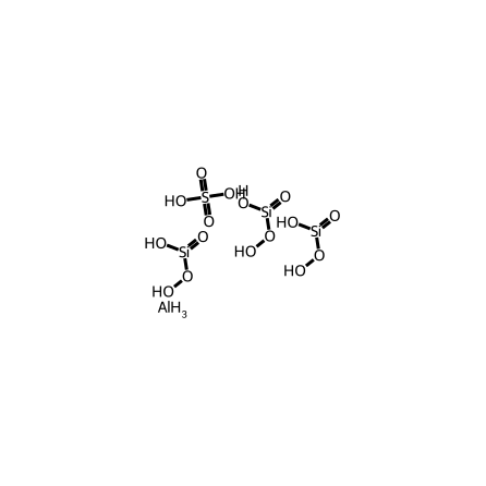 O=S(=O)(O)O.O=[Si](O)OO.O=[Si](O)OO.O=[Si](O)OO.[AlH3]